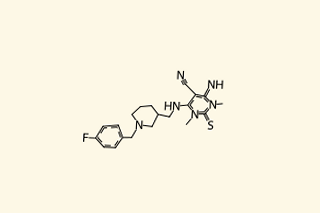 Cn1c(NCC2CCCN(Cc3ccc(F)cc3)C2)c(C#N)c(=N)n(C)c1=S